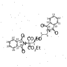 CCOC(=O)C(CCOCCN1C(=O)c2ccccc2C1=O)(C(=O)OCC)N1C(=O)c2ccccc2C1=O